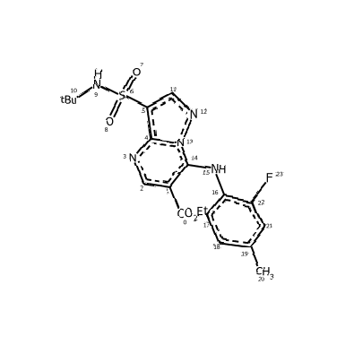 CCOC(=O)c1cnc2c(S(=O)(=O)NC(C)(C)C)cnn2c1Nc1ccc(C)cc1F